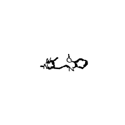 COc1ccccc1N=CCc1cn(C)nc1C